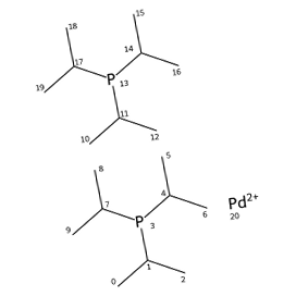 CC(C)P(C(C)C)C(C)C.CC(C)P(C(C)C)C(C)C.[Pd+2]